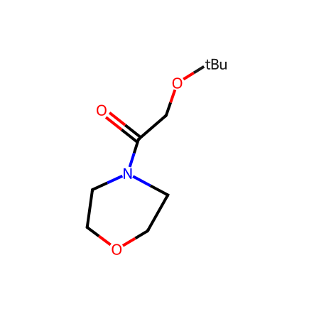 CC(C)(C)OCC(=O)N1CCOCC1